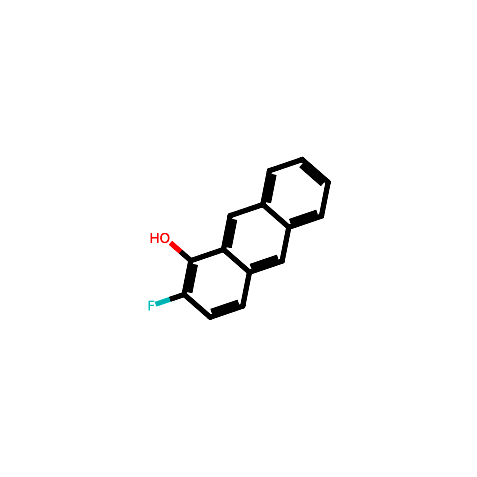 Oc1c(F)ccc2cc3ccccc3cc12